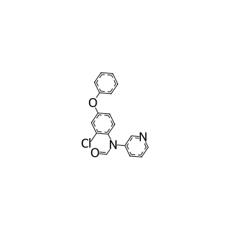 O=CN(c1cccnc1)c1ccc(Oc2ccccc2)cc1Cl